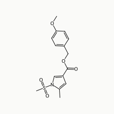 COc1ccc(COC(=O)c2cc(C)n(S(C)(=O)=O)c2)cc1